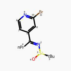 CCCC(=N[S@+]([O-])C(C)(C)C)c1ccnc(Br)c1